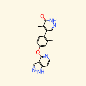 Cc1cc(Oc2nccc3[nH]ncc23)ccc1-c1cn[nH]c(=O)c1C